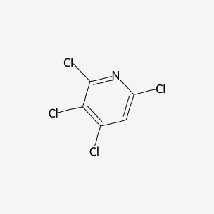 Clc1cc(Cl)c(Cl)c(Cl)n1